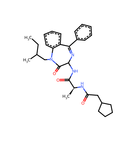 CCC(C)CN1C(=O)C(NC(=O)[C@H](C)NC(=O)CC2CCCC2)N=C(c2ccccc2)c2ccccc21